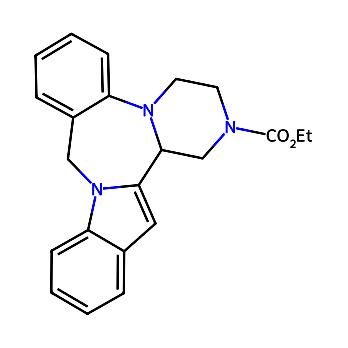 CCOC(=O)N1CCN2c3ccccc3Cn3c(cc4ccccc43)C2C1